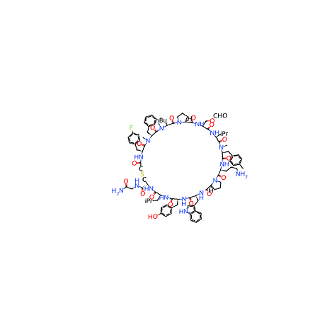 CCCC[C@H]1C(=O)N2CCC[C@@H]2C(=O)N[C@@H](COC=O)C(=O)N[C@@H](C(C)C)C(=O)N(C)[C@@H](Cc2ccc(C)cc2)C(=O)N[C@@H](CCCN)C(=O)N2CCC[C@@H]2C(=O)N[C@@H](Cc2c[nH]c3ccccc23)C(=O)N[C@@H](Cc2ccc(O)cc2)C(=O)N[C@@H](CC(C)C)C(=O)N[C@H](C(=O)NCC(N)=O)CSCC(=O)N[C@@H](Cc2ccc(F)cc2)C(=O)N(C)[C@@H](Cc2ccccc2)C(=O)N1C